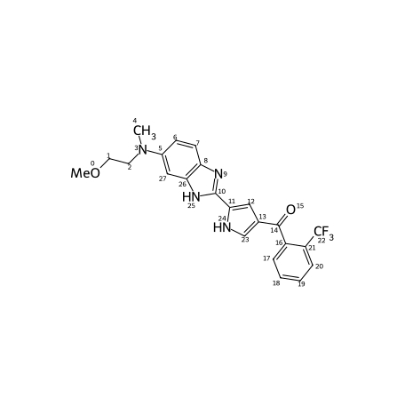 COCCN(C)c1ccc2nc(-c3cc(C(=O)c4ccccc4C(F)(F)F)c[nH]3)[nH]c2c1